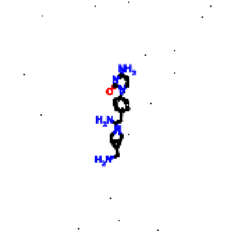 NCC1C2CN([C@@H](N)Cc3ccc(-n4ccc(N)nc4=O)cc3)CC12